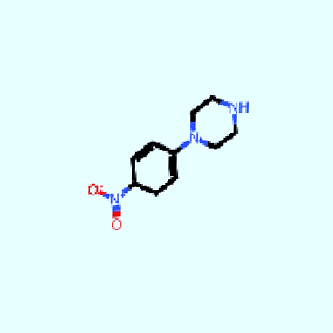 O=[N+]([O-])C1C=CC(N2CCNCC2)=CC1